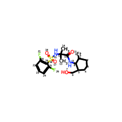 CCC1CCCC(CO)C1NC(=O)C(C)(C)NS(=O)(=O)c1c(F)cccc1F